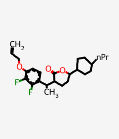 C=CCOc1ccc(C(C)C2CCC(C3CCC(CCC)CC3)OC2=O)c(F)c1F